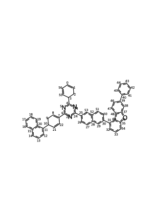 C1=CCC(c2nc(C3=CCC(c4cccc5ccccc45)C=C3)nc(-c3ccc4cc(-c5cccc6oc7cc(-c8ccccc8)ccc7c56)ccc4c3)n2)C=C1